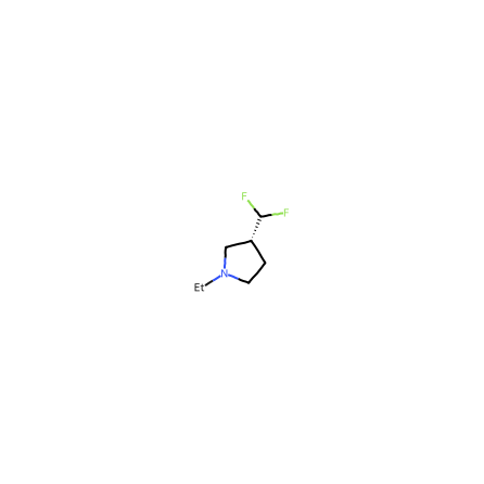 CCN1CC[C@@H](C(F)F)C1